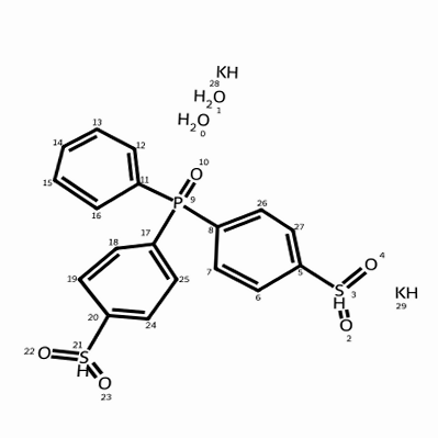 O.O.O=[SH](=O)c1ccc(P(=O)(c2ccccc2)c2ccc([SH](=O)=O)cc2)cc1.[KH].[KH]